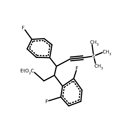 CCOC(=O)CC(c1c(F)cccc1F)C(C#CS(C)(C)C)c1ccc(F)cc1